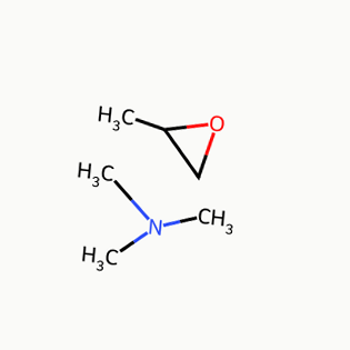 CC1CO1.CN(C)C